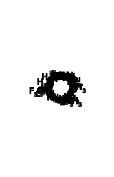 CC[C@H](C)[C@@H]1NC(=O)[C@H](CC(C)C)N(C)C(=O)CSC[C@@H](C(=O)N(C)C)N(C)C(=O)C(C2CCCC2)N(C)C(=O)C2(CCCC2)NC(=O)[C@@H]2CCCN2C(=O)[C@H](CCc2ccc(C(F)(F)F)c(Cl)c2)NC(=O)CN(C)C(=O)[C@H](CC2CCCCC2)N(C)C(=O)CN(C)C(=O)CN(C)C1=O